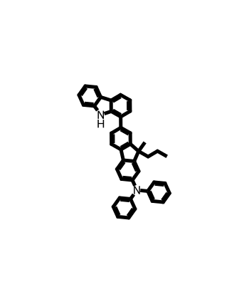 CCCC1(C)c2cc(-c3cccc4c3[nH]c3ccccc34)ccc2-c2ccc(N(c3ccccc3)c3ccccc3)cc21